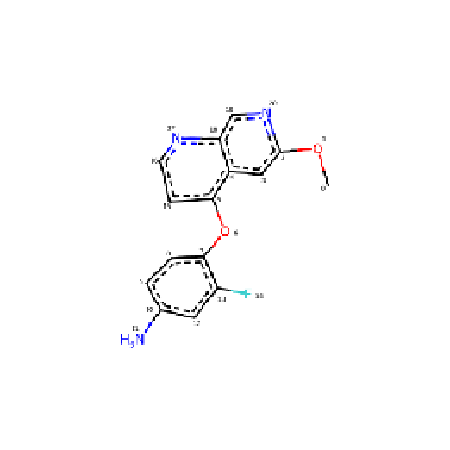 COc1cc2c(Oc3ccc(N)cc3F)ccnc2cn1